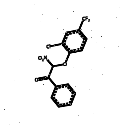 O=C(c1ccccc1)C(Oc1ccc(C(F)(F)F)cc1Cl)[N+](=O)[O-]